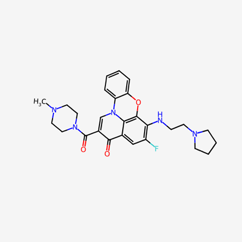 CN1CCN(C(=O)c2cn3c4c(c(NCCN5CCCC5)c(F)cc4c2=O)Oc2ccccc2-3)CC1